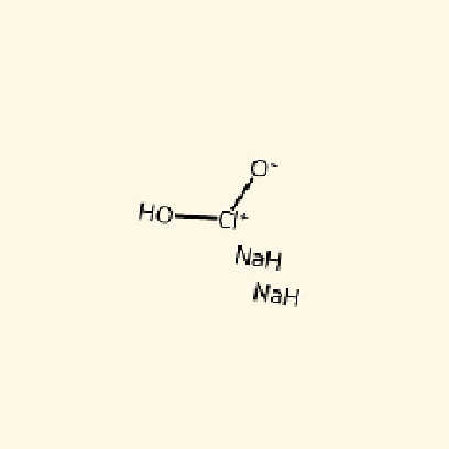 [NaH].[NaH].[O-][Cl+]O